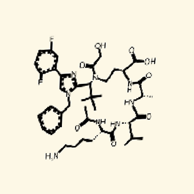 CC(=O)N[C@@H](CCCCN)C(=O)N[C@H](C(=O)N[C@@H](C)C(=O)N[C@@H](CCN(C(=O)CO)[C@@H](c1nc(-c2cc(F)ccc2F)cn1Cc1ccccc1)C(C)(C)C)C(=O)O)C(C)C